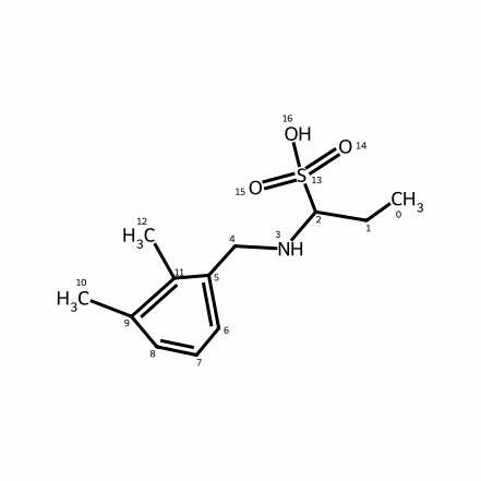 CCC(NCc1cccc(C)c1C)S(=O)(=O)O